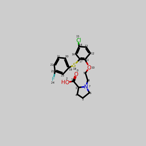 O=C(O)C1CCCN1CCOc1ccc(Cl)cc1Sc1cccc(F)c1